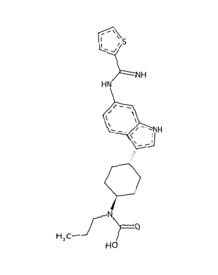 CCCN(C(=O)O)[C@H]1CC[C@H](c2c[nH]c3cc(NC(=N)c4cccs4)ccc32)CC1